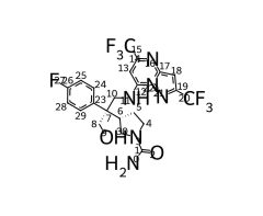 NC(=O)N1CC[C@@H]([C@](CO)(CNc2cc(C(F)(F)F)nc3cc(C(F)(F)F)nn23)c2ccc(F)cc2)C1